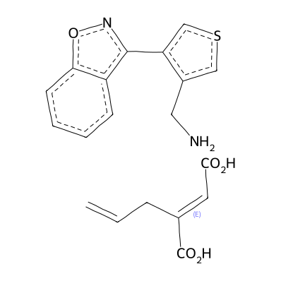 C=CC/C(=C\C(=O)O)C(=O)O.NCc1cscc1-c1noc2ccccc12